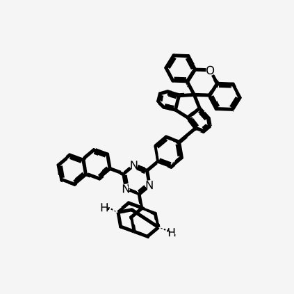 c1ccc2c(c1)Oc1ccccc1C21c2ccccc2-c2c(-c3ccc(-c4nc(-c5ccc6ccccc6c5)nc(C56CC7C[C@H](C5)C[C@@H](C7)C6)n4)cc3)cccc21